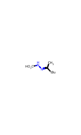 CC(=NNC(=O)O)C(C)(C)C